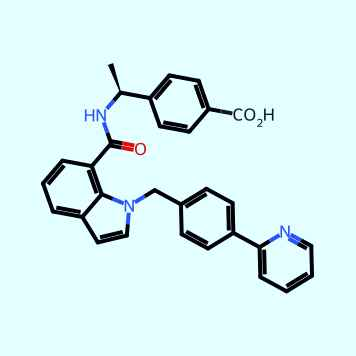 C[C@H](NC(=O)c1cccc2ccn(Cc3ccc(-c4ccccn4)cc3)c12)c1ccc(C(=O)O)cc1